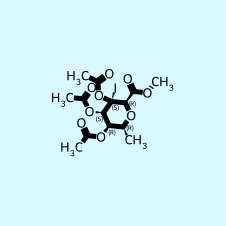 COC(=O)[C@H]1O[C@H](C)[C@@H](OC(C)=O)[C@H](OC(C)=O)[C@@]1(I)OC(C)=O